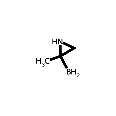 BC1(C)CN1